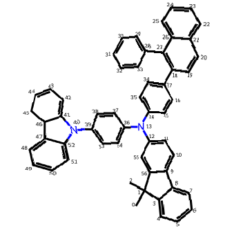 CC1(C)c2ccccc2-c2ccc(N(c3ccc(-c4ccc5ccccc5c4-c4ccccc4)cc3)c3ccc(N4C5=CC=CCC5c5ccccc54)cc3)cc21